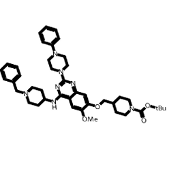 COc1cc2c(NC3CCN(Cc4ccccc4)CC3)nc(N3CCN(c4ccccc4)CC3)nc2cc1OCC1CCN(C(=O)OC(C)(C)C)CC1